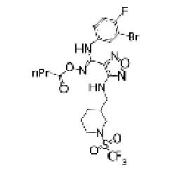 CCCC(=O)O/N=C(\Nc1ccc(F)c(Br)c1)c1nonc1NCC1CCCN(S(=O)(=O)C(F)(F)F)C1